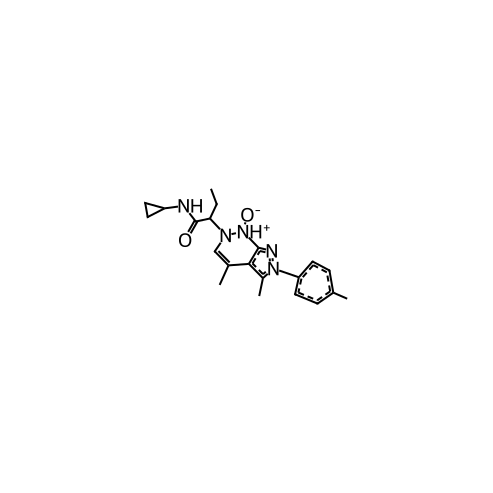 CCC(C(=O)NC1CC1)N1C=C(C)c2c(nn(-c3ccc(C)cc3)c2C)[NH+]1[O-]